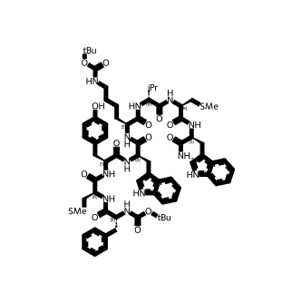 CSC[C@H](NC(=O)[C@@H](Cc1ccccc1)NC(=O)OC(C)(C)C)C(=O)N[C@@H](Cc1ccc(O)cc1)C(=O)N[C@H](Cc1c[nH]c2ccccc12)C(=O)N[C@@H](CCCCNC(=O)OC(C)(C)C)C(=O)N[C@@H](C(=O)N[C@@H](CSC)C(=O)N[C@@H](Cc1c[nH]c2ccccc12)C(N)=O)C(C)C